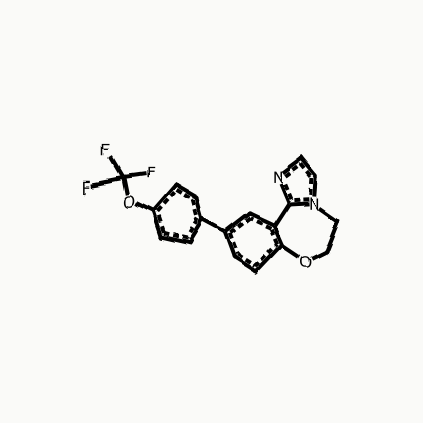 FC(F)(F)Oc1ccc(-c2ccc3c(c2)-c2nccn2CCO3)cc1